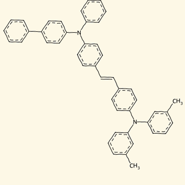 Cc1cccc(N(c2ccc(/C=C/c3ccc(N(c4ccccc4)c4ccc(-c5ccccc5)cc4)cc3)cc2)c2cccc(C)c2)c1